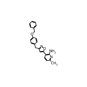 Cc1ccc(-c2cc(Cc3ccc(OCc4ccccc4)cc3)no2)c(N)n1